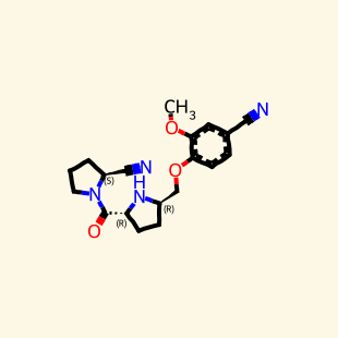 COc1cc(C#N)ccc1OC[C@H]1CC[C@H](C(=O)N2CCC[C@H]2C#N)N1